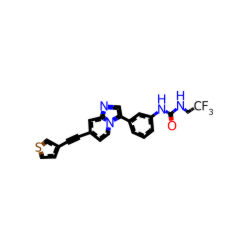 O=C(NCC(F)(F)F)Nc1cccc(-c2cnc3cc(C#Cc4ccsc4)ccn23)c1